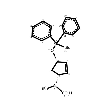 CC(C)(C)N(C(=O)O)[C@H]1C=C[C@@H](O[Si](c2ccccc2)(c2ccccc2)C(C)(C)C)C1